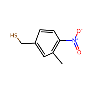 Cc1cc(CS)ccc1[N+](=O)[O-]